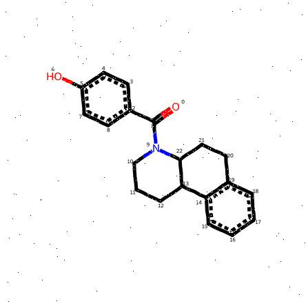 O=C(c1ccc(O)cc1)N1CCCC2c3ccccc3CCC21